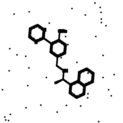 COc1ccc(CN[C@H](C)c2cccc3ccccc23)cc1-c1ncccn1